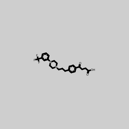 O=C(O)CCC(=O)c1ccc(CCCN2CCN(c3cccc(C(F)(F)F)c3)CC2)cc1